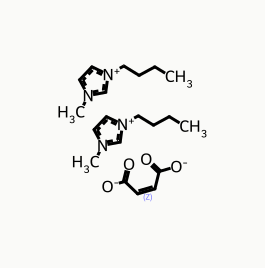 CCCC[n+]1ccn(C)c1.CCCC[n+]1ccn(C)c1.O=C([O-])/C=C\C(=O)[O-]